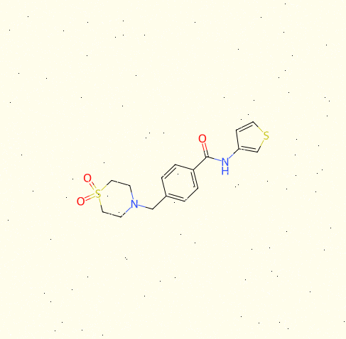 O=C(Nc1ccsc1)c1ccc(CN2CCS(=O)(=O)CC2)cc1